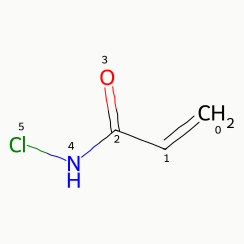 C=CC(=O)NCl